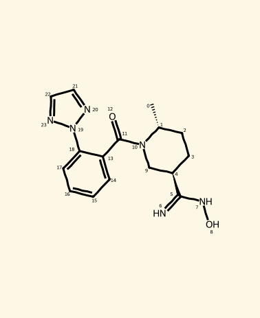 C[C@@H]1CC[C@@H](C(=N)NO)CN1C(=O)c1ccccc1-n1nccn1